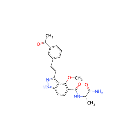 COc1c(C(=O)N[C@@H](C)C(N)=O)ccc2[nH]nc(/C=C/c3cccc(C(C)=O)c3)c12